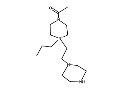 CCC[N+]1(CCN2CCNCC2)CCN(C(C)=O)CC1